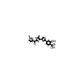 Cc1nc(C(=O)c2ccn(C)n2)sc1-c1csc(-c2ccc(C(=O)O)c(O)c2)n1